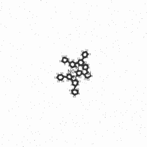 N#Cc1c(-n2c3ccc(-c4ccccc4)cc3c3cc(-c4ccccc4)ccc32)cc(-c2cccnc2-c2ccccc2)cc1-n1c2ccc(-c3ccccc3)cc2c2cc(-c3ccccc3)ccc21